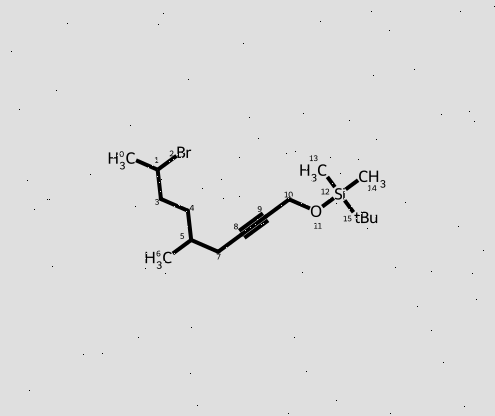 CC(Br)CCC(C)CC#CCO[Si](C)(C)C(C)(C)C